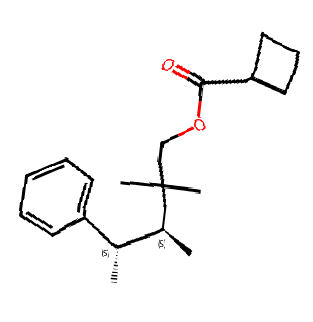 C[C@H](c1ccccc1)[C@H](C)C(C)(C)COC(=O)C1CCC1